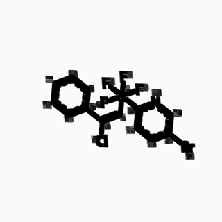 FS(F)(F)(F)(/C=C(/Cl)c1ccccc1)c1ccc(Br)cn1